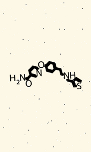 NC(=O)c1ccc(Oc2ccc(CCNCc3ccsc3)cc2)nc1